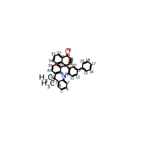 CC1(C)c2ccccc2N2c3ccc(-c4ccccc4)cc3C3(c4ccccc4C(=O)c4ccccc43)c3cccc1c32